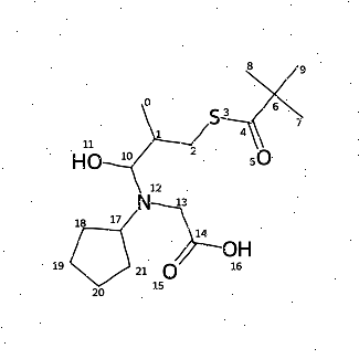 CC(CSC(=O)C(C)(C)C)C(O)N(CC(=O)O)C1CCCC1